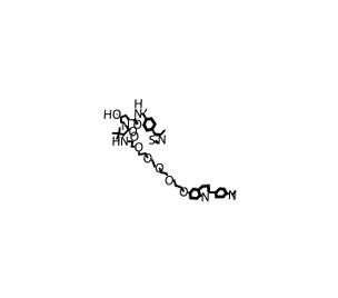 Cc1ncsc1-c1ccc([C@H](C)NC(=O)[C@@H]2C[C@@H](O)CN2C(=O)[C@@H](NC(=O)COCCOCCOCCOCCCOc2ccc3nc(-c4ccc(N(C)C)cc4)ccc3c2)C(C)(C)C)cc1